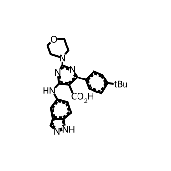 CC(C)(C)c1ccc(-c2nc(N3CCOCC3)nc(Nc3ccc4[nH]ncc4c3)c2C(=O)O)cc1